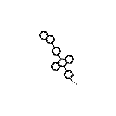 Cc1ccc(-c2c3ccccc3c(-c3ccc(-c4ccc5ccccc5c4)cc3)c3ccccc23)cn1